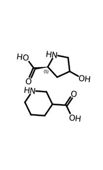 O=C(O)C1CCCNC1.O=C(O)[C@@H]1CC(O)CN1